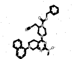 C[S+]([O-])c1nc2c(c(N3CCN(C(=O)OCc4ccccc4)C(CC#N)C3)n1)CCN(c1cccc3ccccc13)C2